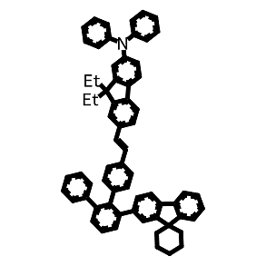 CCC1(CC)c2cc(/C=C/c3ccc(-c4c(-c5ccccc5)cccc4-c4ccc5c(c4)C4(CCCCC4)c4ccccc4-5)cc3)ccc2-c2ccc(N(c3ccccc3)c3ccccc3)cc21